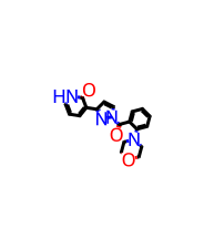 O=C(c1ccccc1N1CCOCC1)n1ccc(-c2ccc[nH]c2=O)n1